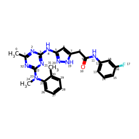 Cc1nc(Nc2cc(CC(=O)Nc3cccc(F)c3)[nH]n2)nc(N(C)c2ccccc2C)n1